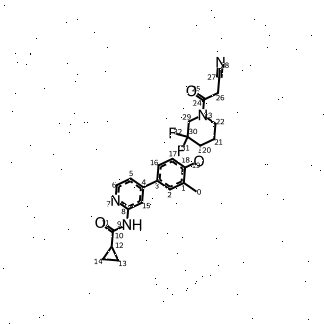 Cc1cc(-c2ccnc(NC(=O)C3CC3)c2)ccc1O[C@H]1CCN(C(=O)CC#N)CC1(F)F